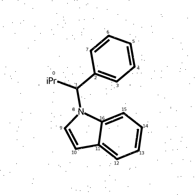 CC(C)C(c1ccccc1)n1ccc2ccccc21